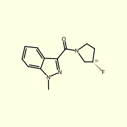 Cn1nc(C(=O)N2CC[C@H](F)C2)c2ccccc21